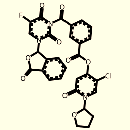 O=C(Oc1cc(=O)n(C2CCCO2)cc1Cl)c1cccc(C(=O)n2c(=O)c(F)cn(C3OC(=O)c4ccccc43)c2=O)c1